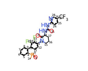 CP(C)(=O)c1ccccc1-c1ccc(N2CCCC(NC(=O)Nc3ccc(C(F)(F)F)cn3)C2=O)c(F)c1F